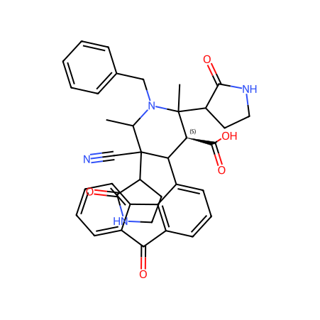 CC1N(Cc2ccccc2)C(C)(C2CCNC2=O)[C@@H](C(=O)O)C(c2cccc3c2-c2ccccc2C3=O)C1(C#N)C1CCNC1=O